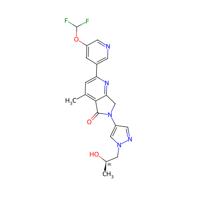 Cc1cc(-c2cncc(OC(F)F)c2)nc2c1C(=O)N(c1cnn(C[C@@H](C)O)c1)C2